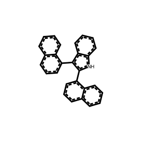 c1ccc2c(-c3[nH]c4ccccc4c3-c3cccc4ccccc34)cccc2c1